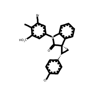 Cc1c(Br)cc(N2C(=O)[C@@]3(C[C@@H]3c3ccc(Cl)cc3)c3ccccc32)cc1C(=O)O